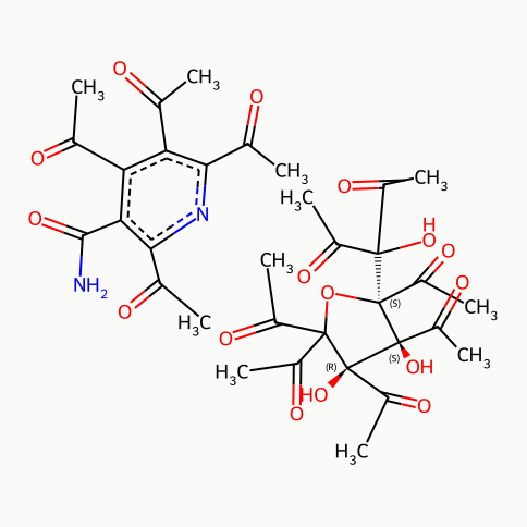 CC(=O)C(O)(C(C)=O)[C@@]1(C(C)=O)OC(C(C)=O)(C(C)=O)[C@@](O)(C(C)=O)[C@@]1(O)C(C)=O.CC(=O)c1nc(C(C)=O)c(C(N)=O)c(C(C)=O)c1C(C)=O